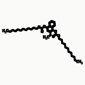 CCCCCCCCCCCCOC(=O)Oc1cc(CC)c(OC(=O)OCCCCCCCCCCCC)c2ccccc12